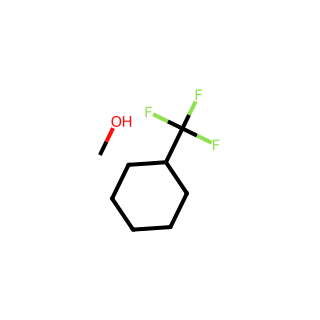 CO.FC(F)(F)C1CCCCC1